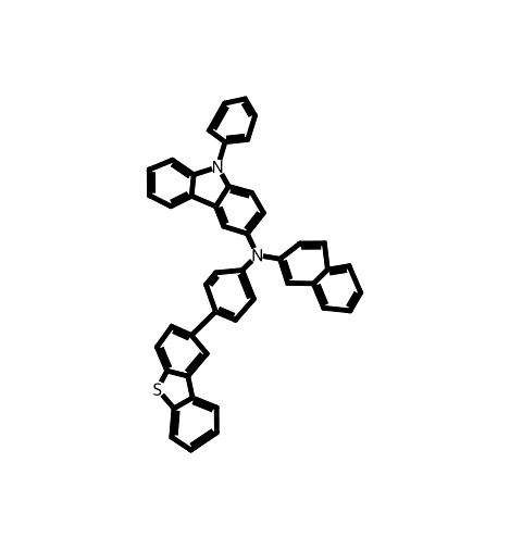 c1ccc(-n2c3ccccc3c3cc(N(c4ccc(-c5ccc6sc7ccccc7c6c5)cc4)c4ccc5ccccc5c4)ccc32)cc1